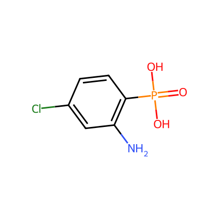 Nc1cc(Cl)ccc1P(=O)(O)O